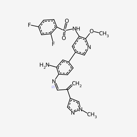 C=C(/C=N\c1ccc(-c2cnc(OC)c(NS(=O)(=O)c3ccc(F)cc3F)c2)cc1N)c1cnn(C)c1